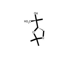 CC1(C)OC[C@@H]([C@@](C)(O)C(=O)O)O1